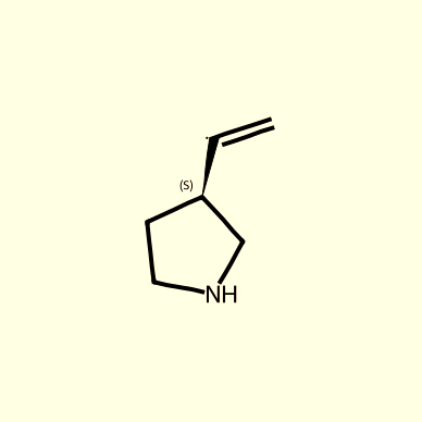 C=[C][C@@H]1CCNC1